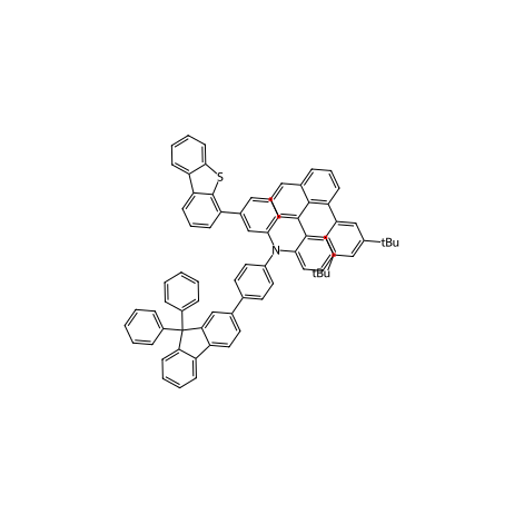 CC(C)(C)c1cc(-c2cccc3cccc(-c4ccccc4N(c4ccc(-c5ccc6c(c5)C(c5ccccc5)(c5ccccc5)c5ccccc5-6)cc4)c4cccc(-c5cccc6c5sc5ccccc56)c4)c23)cc(C(C)(C)C)c1